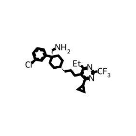 CCc1nc(C(F)(F)F)nc(C2CC2)c1CCC[C@H]1CC[C@](CN)(c2cccc(Cl)c2)CC1